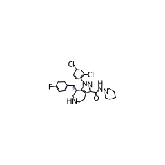 O=C(NN1CCCCC1)c1nn(C2=C(Cl)CC(Cl)C=C2)c2c1CCNC/C2=C\c1ccc(F)cc1